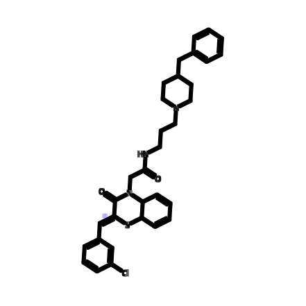 O=C(CN1C(=O)/C(=C/c2cccc(Cl)c2)SC2C=CC=CC21)NCCCN1CCC(Cc2ccccc2)CC1